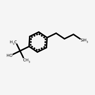 CC(C)(O)c1ccc(CCC[SiH3])cc1